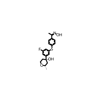 C/C(=N/O)c1ccc(Sc2cc(F)cc([C@]3(O)CCO[C@@H](C)C3)c2)cc1